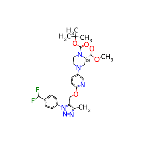 COC(=O)[C@@H]1CN(c2ccc(OCc3c(C)nnn3-c3ccc(C(F)F)cc3)nc2)CCN1C(=O)OC(C)(C)C